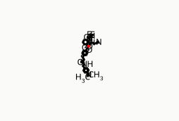 CN(C)c1ccc(CNC(=O)CSc2ccc(S(=O)(=O)CC3CCCCC3(OC(=O)C(F)(F)F)C(=O)NCC#N)cc2)cc1